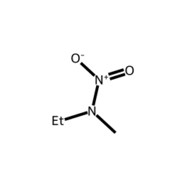 CCN(C)[N+](=O)[O-]